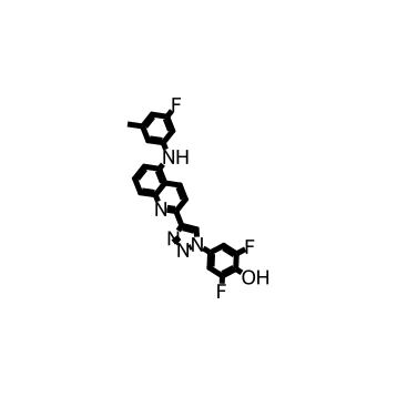 Cc1cc(F)cc(Nc2cccc3nc(-c4cn(-c5cc(F)c(O)c(F)c5)nn4)ccc23)c1